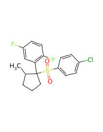 CC1CCCC1(c1cc(F)ccc1F)S(=O)(=O)c1ccc(Cl)cc1